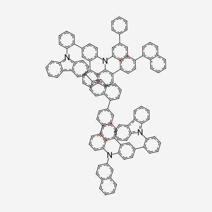 c1ccc(-c2cccc(N(c3ccccc3-c3ccc(-c4cccc5ccccc45)cc3)c3ccc(-c4ccccc4-n4c5ccccc5c5cc(-c6ccc7c(-c8ccc(-c9cccc(N(c%10ccc%11ccccc%11c%10)c%10ccc(-c%11ccccc%11-n%11c%12ccccc%12c%12ccccc%12%11)cc%10-c%10ccccc%10)c9)cc8)cccc7c6)ccc54)cc3-c3ccccc3)c2)cc1